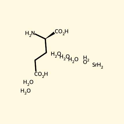 N[C@H](CCC(=O)O)C(=O)O.O.O.O.O.O.O.[SrH2]